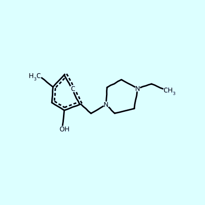 CCN1CCN(Cc2ccc(C)cc2O)CC1